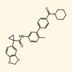 Cc1ccc(NC(=O)C2(c3ccc4c(c3)OCO4)CC2)cc1-c1ccc(C(=O)N2CCCCC2)cc1